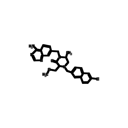 COCC1C(=O)N(Cc2ccc3c(N)ncnc3c2)C(C)CN1Cc1ccc2cc(Cl)ccc2c1